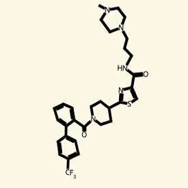 CN1CCN(CCCNC(=O)c2csc(C3CCN(C(=O)c4ccccc4-c4ccc(C(F)(F)F)cc4)CC3)n2)CC1